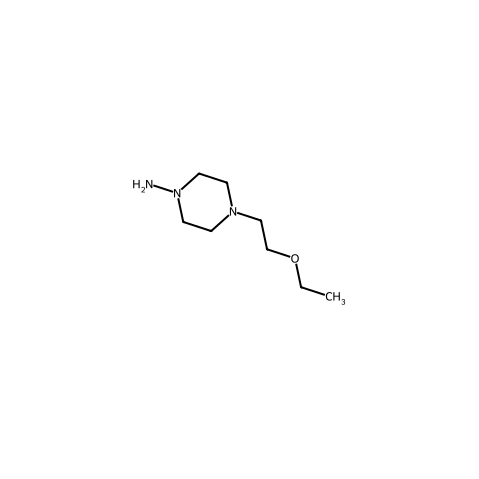 CCOCCN1CCN(N)CC1